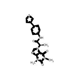 C[C@H](C(=O)Nc1ccc(-c2ccsc2)cc1)n1cnc2c1c(=O)n(C)c(=O)n2C